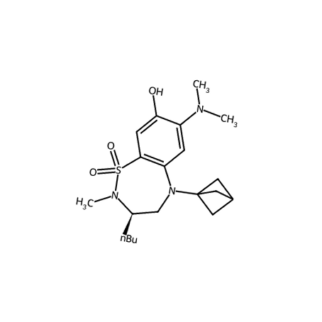 CCCC[C@@H]1CN(C23CC(C2)C3)c2cc(N(C)C)c(O)cc2S(=O)(=O)N1C